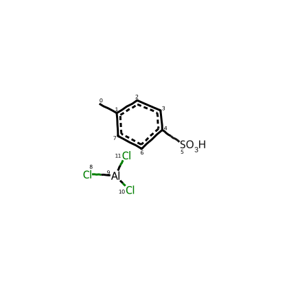 Cc1ccc(S(=O)(=O)O)cc1.[Cl][Al]([Cl])[Cl]